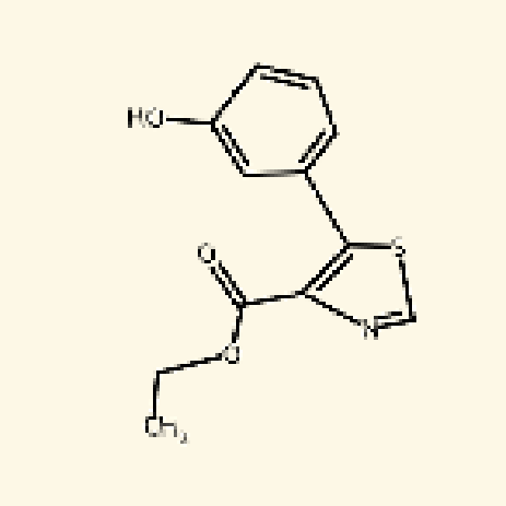 CCOC(=O)c1ncsc1-c1cccc(O)c1